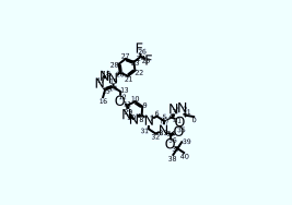 Cc1nnc([C@@H]2CN(c3ccc(OCc4c(C)nnn4-c4ccc(C(F)F)cc4)nn3)CCN2C(=O)OC(C)(C)C)o1